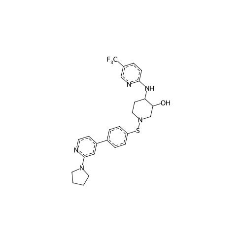 OC1CN(Sc2ccc(-c3ccnc(N4CCCC4)c3)cc2)CCC1Nc1ccc(C(F)(F)F)cn1